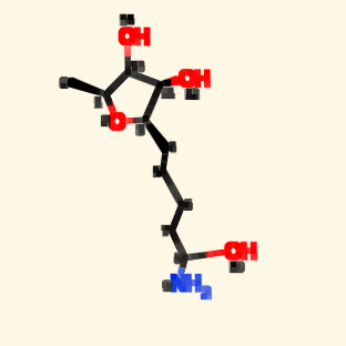 C[C@@H]1O[C@H](CCCCC(N)O)[C@H](O)C1O